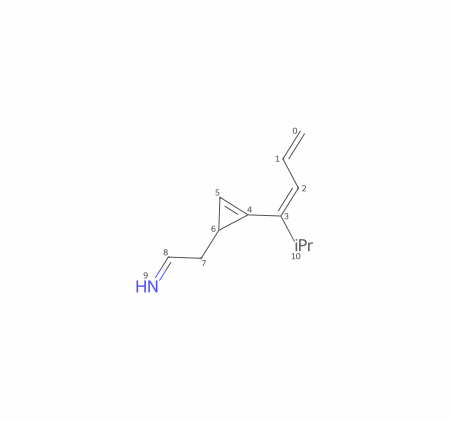 C=C/C=C(\C1=CC1CC=N)C(C)C